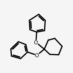 [CH]1CCCCC1(Oc1ccccc1)Oc1ccccc1